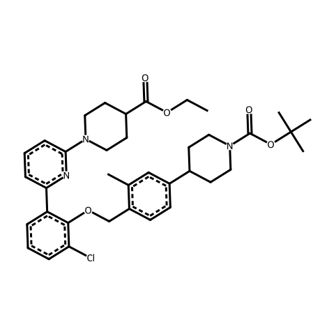 CCOC(=O)C1CCN(c2cccc(-c3cccc(Cl)c3OCc3ccc(C4CCN(C(=O)OC(C)(C)C)CC4)cc3C)n2)CC1